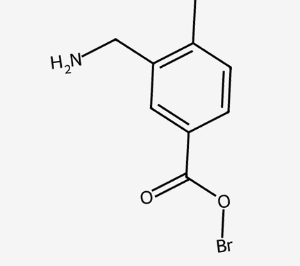 Cc1ccc(C(=O)OBr)cc1CN